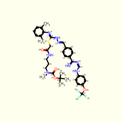 Cc1cccc(C)c1/N=C(/N/N=C/c1ccc(C(=N)/N=C\Nc2ccc(OC(F)(F)F)cc2)cc1)SCC(=O)NCCCN(C)C(=O)OC(C)(C)C